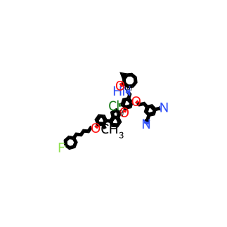 Cc1c(OCCCCCC2CCCC(F)CC2)cccc1-c1cccc2c1CC[C@@H]2Oc1cc(OCCc2cc(C#N)cc(C#N)c2)c(CN[C@H]2CCCCC3CC3C2=O)cc1Cl